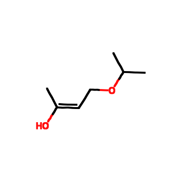 C/C(O)=C\COC(C)C